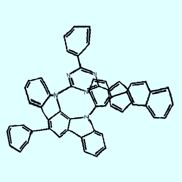 c1ccc(-c2nc(-c3ccccc3)nc(-n3c4ccccc4c4c(-c5ccccc5)cc5c6ccccc6n(-c6cccc(-c7ccc8ccccc8c7)c6)c5c43)n2)cc1